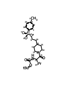 Cc1ccc(S(=O)(=O)OCCC2CCN(C(=O)C(NC(=O)OC(C)(C)C)C(C)C)CC2)cc1